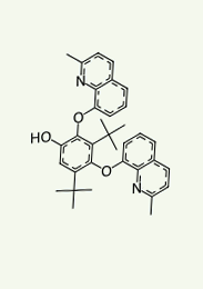 Cc1ccc2cccc(Oc3c(O)cc(C(C)(C)C)c(Oc4cccc5ccc(C)nc45)c3C(C)(C)C)c2n1